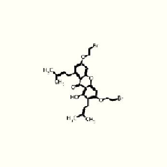 CC(C)=CCc1c(OCCBr)cc2oc3cc(OCCBr)cc(CC=C(C)C)c3c(=O)c2c1O